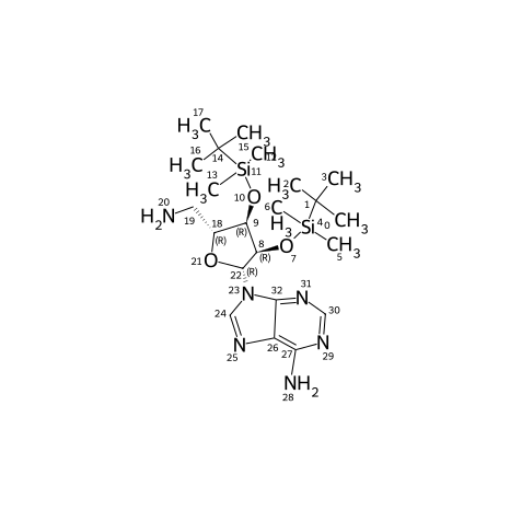 CC(C)(C)[Si](C)(C)O[C@@H]1[C@H](O[Si](C)(C)C(C)(C)C)[C@@H](CN)O[C@H]1n1cnc2c(N)ncnc21